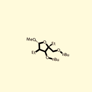 CCCCOC[C@@]1(CC)O[C@@H](OC)C(CC)C1OCCCC